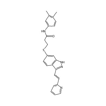 Cc1ccc(NC(=O)CCSc2ccc3c(C=Cc4ccccn4)n[nH]c3c2)cc1C